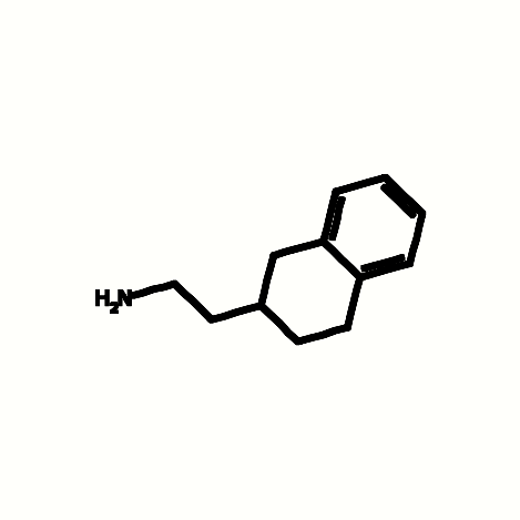 NCCC1CCc2ccccc2C1